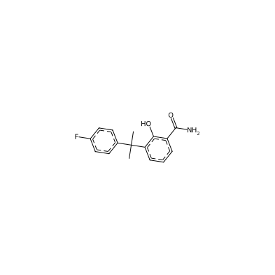 CC(C)(c1ccc(F)cc1)c1cccc(C(N)=O)c1O